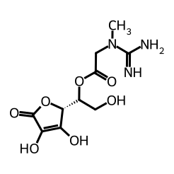 CN(CC(=O)OC(CO)[C@H]1OC(=O)C(O)=C1O)C(=N)N